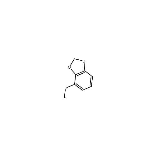 [CH2]Sc1cccc2c1OCO2